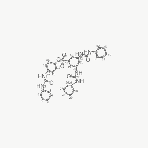 O=C(Nc1ccccc1)Nc1ccc(OS(=O)(=O)c2cc(NC(=O)Nc3ccccc3)cc(NC(=O)Nc3ccccc3)c2)cc1